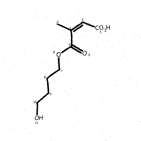 C/C(=C/C(=O)O)C(=O)OCCCCO